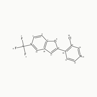 FC(F)(F)c1ccc2oc(-c3ccncc3Cl)cc2c1